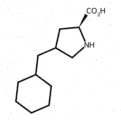 O=C(O)[C@@H]1CC(CC2CCCCC2)CN1